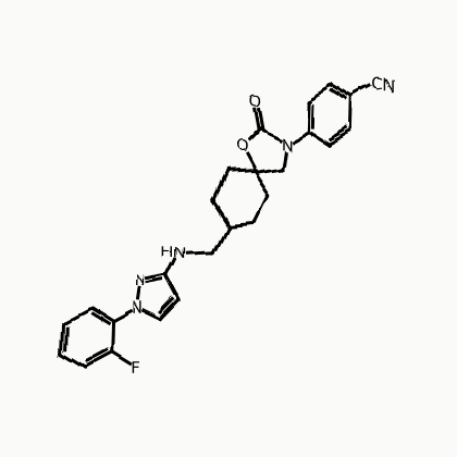 N#Cc1ccc(N2CC3(CCC(CNc4ccn(-c5ccccc5F)n4)CC3)OC2=O)cc1